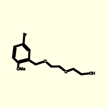 COc1ccc(Br)cc1COCCOCCO